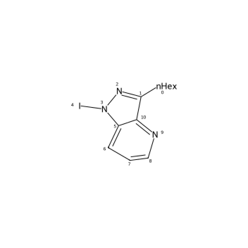 CCCCCCc1nn(I)c2cccnc12